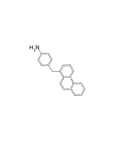 Nc1ccc(Cc2cccc3c2ccc2ccccc23)cc1